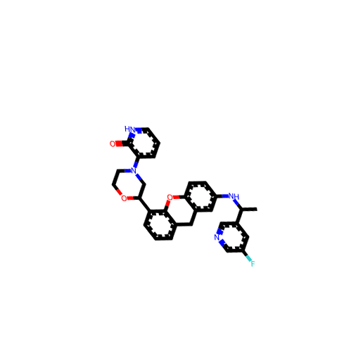 CC(Nc1ccc2c(c1)Cc1cccc(C3CN(c4ccc[nH]c4=O)CCO3)c1O2)c1cncc(F)c1